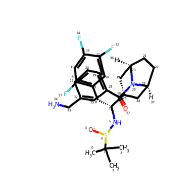 CC(C)(C)[S+]([O-])N[C@H](Cc1cc(F)c(F)cc1F)[C@@H]1C[C@H]2CC[C@@H](C1)N2C(=O)c1cccc(CN)c1